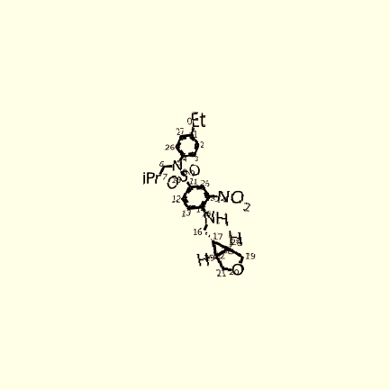 CCc1ccc(N(CC(C)C)S(=O)(=O)c2ccc(NC[C@@H]3[C@H]4COC[C@@H]34)c([N+](=O)[O-])c2)cc1